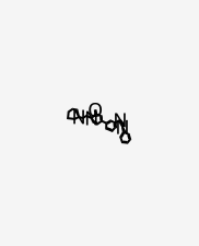 O=c1cc(-c2ccc3c(c2)ncn3-c2ccccc2)ccn1CCN1CCCCC1